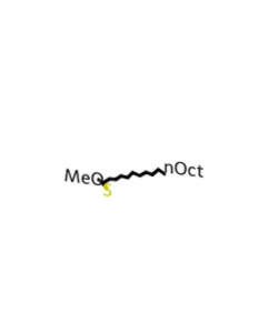 CCCCCCCCCCCCCCCCCCC(=S)OC